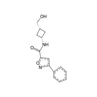 O=C(N[C@H]1C[C@@H](CO)C1)c1cc(-c2ccccc2)no1